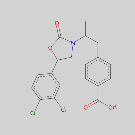 CC(Cc1ccc(C(=O)O)cc1)N1CC(c2ccc(Cl)c(Cl)c2)OC1=O